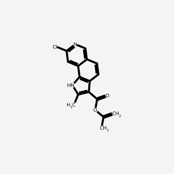 C=C(C)OC(=O)c1c(C)[nH]c2c1ccc1cnc(Cl)cc12